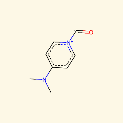 CN(C)c1cc[n+]([C]=O)cc1